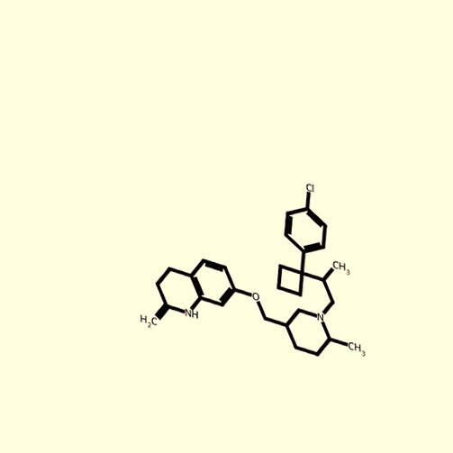 C=C1CCc2ccc(OCC3CCC(C)N(CC(C)C4(c5ccc(Cl)cc5)CCC4)C3)cc2N1